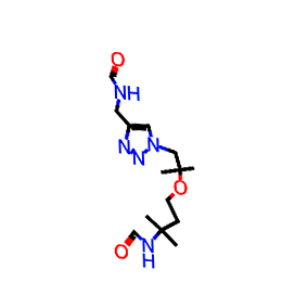 CC(C)(CCOC(C)(C)Cn1cc(CNC=O)nn1)NC=O